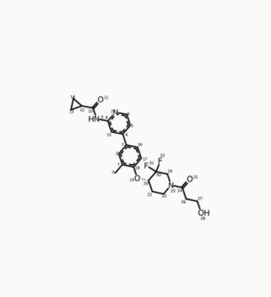 Cc1cc(-c2ccnc(NC(=O)C3CC3)c2)ccc1O[C@H]1CCN(C(=O)CCO)CC1(F)F